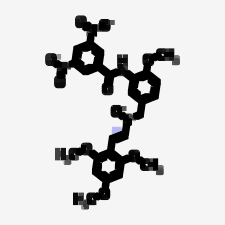 COc1cc(OC)c(/C=C/[S+]([O-])Cc2ccc(OC)c(NC(=O)c3cc([N+](=O)[O-])cc([N+](=O)[O-])c3)c2)c(OC)c1